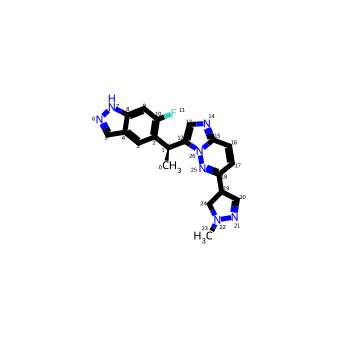 C[C@@H](c1cc2cn[nH]c2cc1F)c1cnc2ccc(C3C=NN(C)C3)nn12